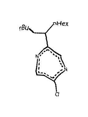 CCCCCCC(CCCC)c1cnc(Cl)cn1